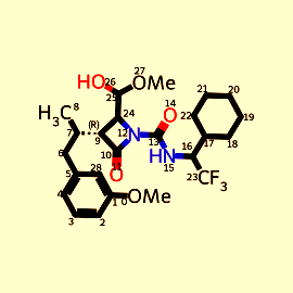 COc1cccc(CC(C)[C@H]2C(=O)N(C(=O)NC(C3CCCCC3)C(F)(F)F)C2C(O)OC)c1